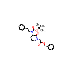 CC(C)(C)OC(=O)N(CCc1ccccc1)[C@H]1CCCN(CC(=O)OCc2ccccc2)C1=O